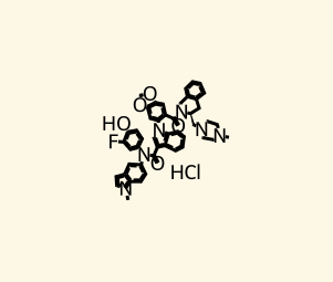 CN1CCN(C[C@@H]2Cc3ccccc3CN2C(=O)c2cc3c(cc2-n2cc(C(=O)N(c4ccc(O)c(F)c4)c4ccc5c(ccn5C)c4)c4ccccc42)OCO3)CC1.Cl